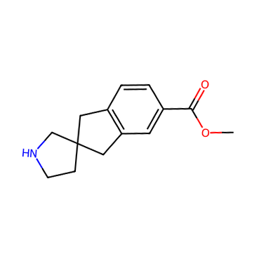 COC(=O)c1ccc2c(c1)CC1(CCNC1)C2